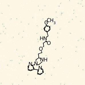 COc1ccc(CNC(=O)CCOCCC2CN(c3ncccc3-c3ccccn3)CCN2)cc1